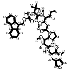 CC[C@H](C)[C@@H]([C@@H](CC(=O)N1CCC[C@H]1[C@H](OC)[C@@H](C)C(=O)N[C@@H](Cc1ccsc1)C(=O)OC)OC)N(C)C(=O)[C@@H](NC(=O)OCC1c2ccccc2-c2ccccc21)C(C)(C)C